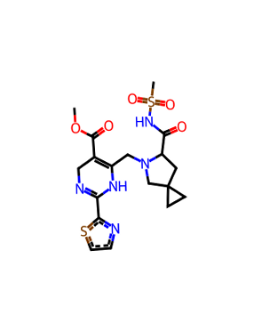 COC(=O)C1=C(CN2CC3(CC3)CC2C(=O)NS(C)(=O)=O)NC(c2nccs2)=NC1